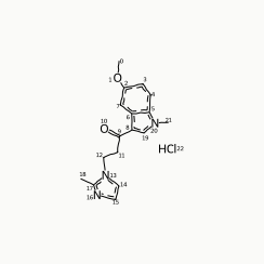 COc1ccc2c(c1)c(C(=O)CCn1ccnc1C)cn2C.Cl